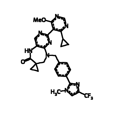 COc1ncnc(C2CC2)c1-c1ncc2c(n1)N(Cc1ccc(-c3nc(C(F)(F)F)cn3C)cc1)CC1(CC1)C(=O)N2